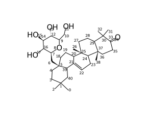 CC1(C)CC[C@]2(C[C@@H]3OC(CO)[C@@H](O)[C@H](O)C3O)CCC3C(=CCC4[C@@]3(C)CCC3C(C)(C)C(=O)CC[C@@]34C)C2C1